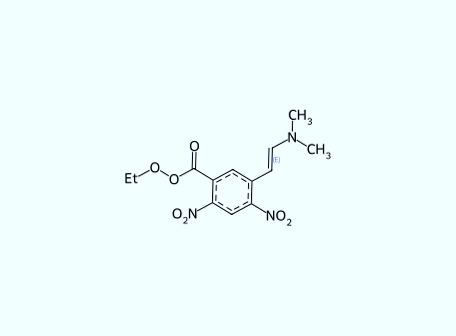 CCOOC(=O)c1cc(/C=C/N(C)C)c([N+](=O)[O-])cc1[N+](=O)[O-]